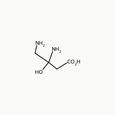 NCC(N)(O)CC(=O)O